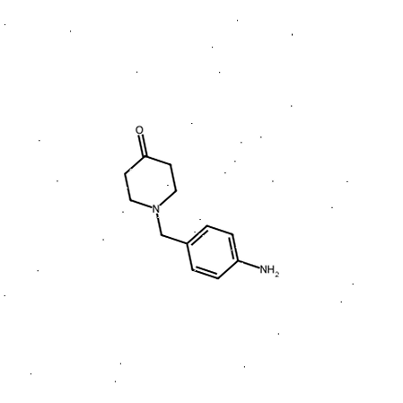 Nc1ccc(CN2CCC(=O)CC2)cc1